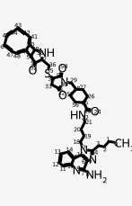 CCCCc1nc2c(N)nc3ccccc3c2n1CCCCNC(=O)C1CCC(CN2C(=O)CC(SCC3NC4c5ccccccccc5C4C3=O)C2=O)CC1